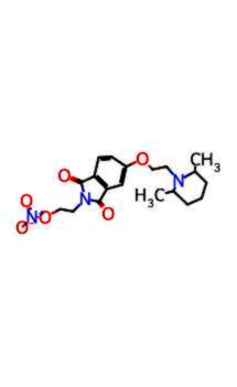 CC1CCCC(C)N1CCOc1ccc2c(c1)C(=O)N(CCO[N+](=O)[O-])C2=O